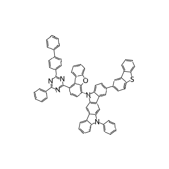 c1ccc(-c2ccc(-c3nc(-c4ccccc4)nc(-c4ccc(-n5c6ccc(-c7ccc8sc9ccccc9c8c7)cc6c6cc7c(cc65)c5ccccc5n7-c5ccccc5)c5oc6ccccc6c45)n3)cc2)cc1